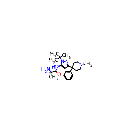 C[C@H](N)C(=O)Nc1cc(C2(c3ccccc3)CCN(C)CC2)nn1C(C)(C)C